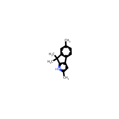 Cc1ccc2c(c1)C(C)(C)c1[nH]c(C)cc1-2